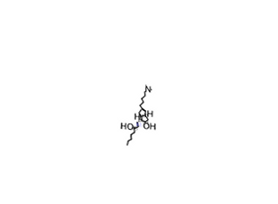 CCCCC[C@@H](O)/C=C/[C@@H]1[C@H]2CC(CCCCCN(C)C)=C[C@H]2C[C@@H]1O